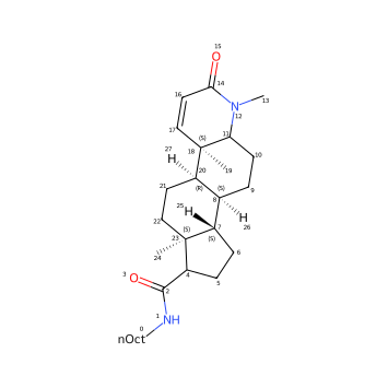 CCCCCCCCNC(=O)C1CC[C@H]2[C@@H]3CCC4N(C)C(=O)C=C[C@]4(C)[C@@H]3CC[C@]12C